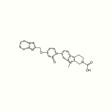 Cn1c2c(c3ccc(-n4ccc(OCc5cn6ccccc6n5)cc4=O)cc31)CCN(C(=O)O)C2